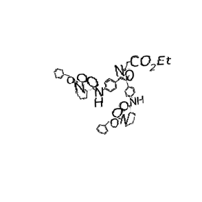 CCOC(=O)Cc1nc(-c2ccc(NC(=O)[C@@H]3CCCN3C(=O)OCc3ccccc3)cc2)c(-c2ccc(NC(=O)[C@@H]3CCCN3C(=O)OCc3ccccc3)cc2)o1